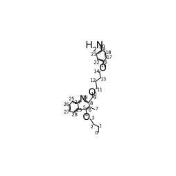 CCCCOc1c(C)c(COCCCCOc2ccc(N)cc2)nc2ccccc12